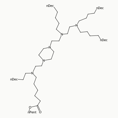 CCCCCCCCCCCCCCN(CCCCCCCCCCCCCC)CCN(CCCCCCCCCCCCCC)CCN1CCN(CCN(CCCCCCCCCCCC)CCCCCC(=O)OCCCCC)CC1